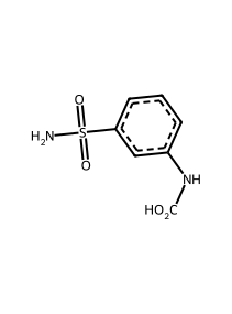 NS(=O)(=O)c1cccc(NC(=O)O)c1